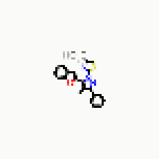 Cc1c(-c2ccccc2)nn(-c2nc(C(=O)O)cs2)c1-c1cc2ccccc2o1